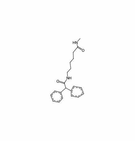 CNC(=O)CCCCCNC(=O)C(c1ccccc1)c1ccccc1